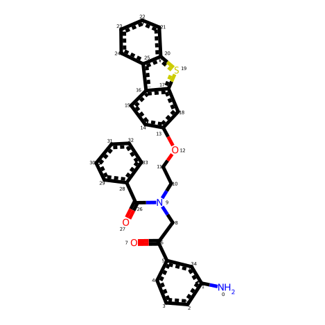 Nc1cccc(C(=O)CN(CCOc2ccc3c(c2)sc2ccccc23)C(=O)c2ccccc2)c1